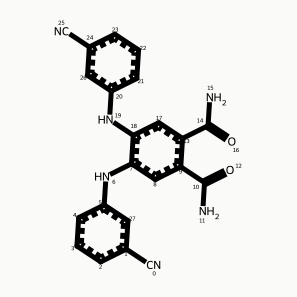 N#Cc1cccc(Nc2cc(C(N)=O)c(C(N)=O)cc2Nc2cccc(C#N)c2)c1